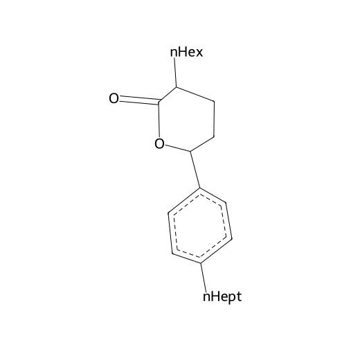 CCCCCCCc1ccc(C2CCC(CCCCCC)C(=O)O2)cc1